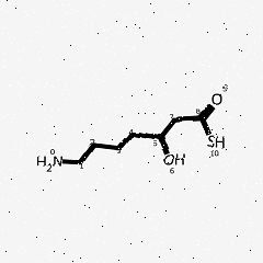 NCCCCC(O)CC(=O)S